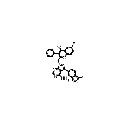 Cc1n[nH]c2cc(-c3nn(Cc4oc5ccc(F)cc5c(=O)c4-c4ccccc4)c4ncnc(N)c34)ccc12